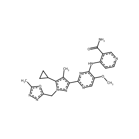 COc1cnc(-c2nn(Cc3nnc(C)o3)c(C3CC3)c2C)nc1Nc1ccncc1C(N)=O